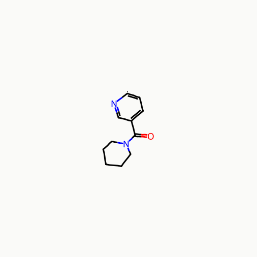 O=C(c1cc[c]nc1)N1CCCCC1